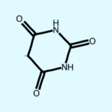 O=C1[CH]C(=O)NC(=O)N1